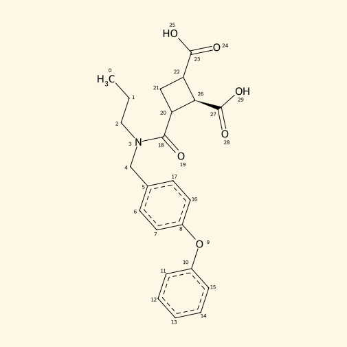 CCCN(Cc1ccc(Oc2ccccc2)cc1)C(=O)C1CC(C(=O)O)[C@H]1C(=O)O